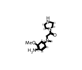 COc1cc(N(C)CC(=O)N2CCNCC2)ccc1N